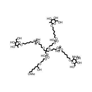 COCCCCCC(CO)COCCCOP(=O)(O)OCC(COCCCOP(=O)(O)OCCCCCCO[C@@H]1OC(CO)[C@H](O)[C@H](O)C1C)(COCCCOP(=O)(O)OCCCCCCO[C@@H]1OC(CO)[C@H](O)[C@H](O)C1C)COCCCOP(=O)(O)OCCCCCCO[C@@H]1OC(CO)[C@H](O)[C@H](O)C1NC(C)=O